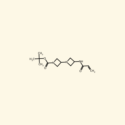 C=CC(=O)NC1CN(C2CN(C(=O)OC(C)(C)C)C2)C1